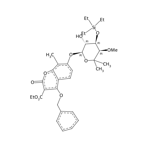 CCOC(=O)c1c(OCc2ccccc2)c2ccc(O[C@@H]3OC(C)(C)[C@H](OC)[C@H](O[Si](CC)(CC)CC)[C@H]3O)c(C)c2oc1=O